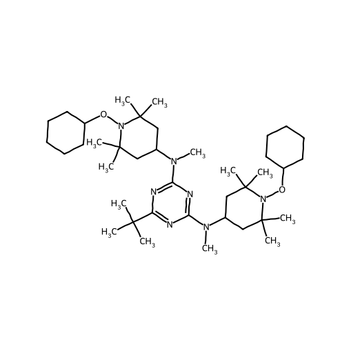 CN(c1nc(N(C)C2CC(C)(C)N(OC3CCCCC3)C(C)(C)C2)nc(C(C)(C)C)n1)C1CC(C)(C)N(OC2CCCCC2)C(C)(C)C1